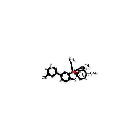 BC1(B)OC(N)=N[C@]12c1cc(-c3cncc(Cl)c3)ccc1C[C@]21CC[C@@H](OC)[C@H](C)C1